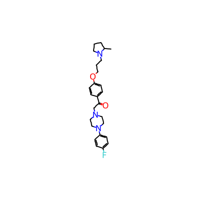 CC1CCCN1CCCOc1ccc(C(=O)CN2CCN(c3ccc(F)cc3)CC2)cc1